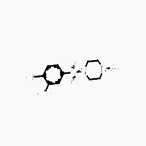 CC(=O)N1CCN(S(=O)(=O)c2ccc(Cl)c(Cl)c2)CC1